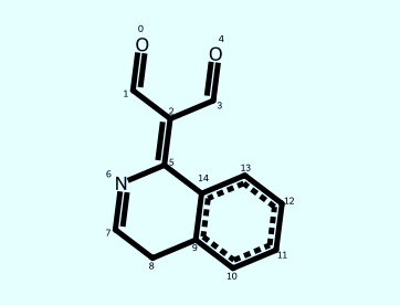 O=CC(C=O)=C1N=CCc2ccccc21